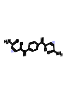 NC(=O)/C=C\C(=O)Nc1ccc(NC(=O)/C=C\C(N)=O)cc1